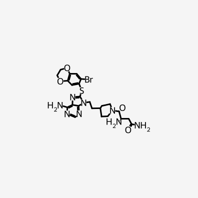 NC(=O)C[C@H](N)C(=O)N1CCC(CCn2c(Sc3cc4c(cc3Br)OCCO4)nc3c(N)ncnc32)CC1